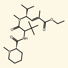 CCOC(=O)/C(C)=C/[C@H](C(C)C)N(C)C(=O)C(NC(=O)[C@H]1CCCCN1C)C(C)(C)C